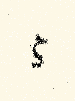 CC(c1ccccc1)c1cccc(OCC(=O)N2CCCC3(CCN(C(=O)c4ccc(CCNCCc5ccc(O)c6[nH]c(=O)ccc56)cc4)CC3)C2)c1